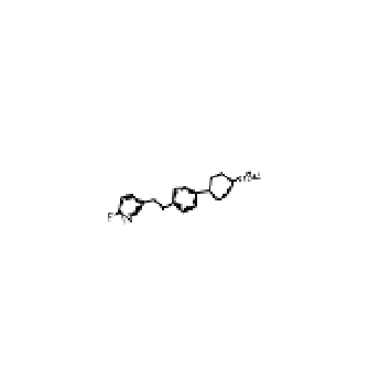 CCCCC1CCC(c2ccc(CCc3ccc(F)nc3)cc2)CC1